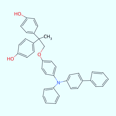 CC(COc1ccc(N(c2ccccc2)c2ccc(-c3ccccc3)cc2)cc1)(c1ccc(O)cc1)c1ccc(O)cc1